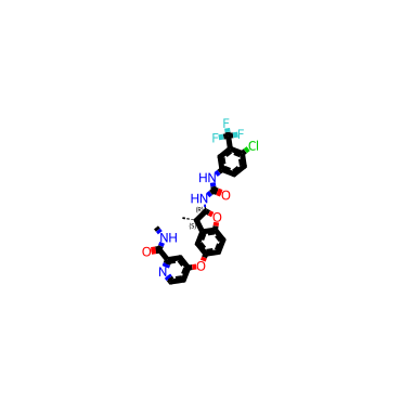 CNC(=O)c1cc(Oc2ccc3c(c2)[C@H](C)[C@H](NC(=O)Nc2ccc(Cl)c(C(F)(F)F)c2)O3)ccn1